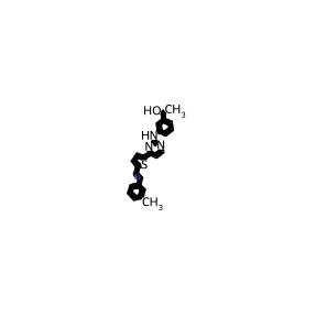 Cc1cccc(/C=C/c2ccc(-c3ccnc(Nc4cccc(C(C)O)c4)n3)s2)c1